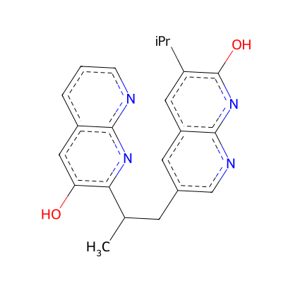 CC(C)c1cc2cc(CC(C)c3nc4ncccc4cc3O)cnc2nc1O